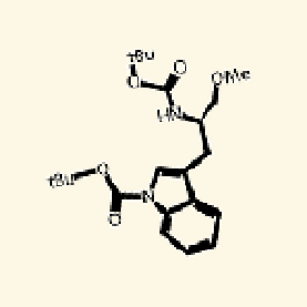 COC[C@@H](Cc1cn(C(=O)OC(C)(C)C)c2ccccc12)NC(=O)OC(C)(C)C